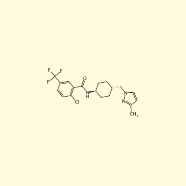 Cc1ccn(C[C@H]2CC[C@H](NC(=O)c3cc(C(F)(F)F)ccc3Cl)CC2)n1